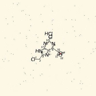 Cl.ClCc1nc2c(N3CC4CC3C4)nc(Cl)nc2[nH]1